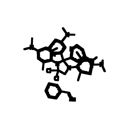 Cc1cc(N(C)C)cc(C)c1N1CC(Cl)(Cl)N(c2c(C)cc(N(C)C)cc2C)C1(c1cc(N(C)C)ccn1)c1cc(N(C)C)ccn1.[Ru]=[CH]c1ccccc1